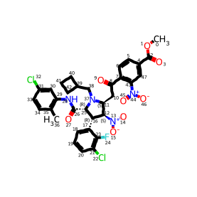 COC(=O)c1ccc(C(=O)C[C@H]2[C@@H]([N+](=O)[O-])[C@H](c3cccc(Cl)c3F)[C@H](C(=O)Nc3cc(Cl)ccc3C)N2CC2CCC2)c([N+](=O)[O-])c1